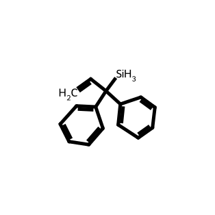 C=CC([SiH3])(c1ccccc1)c1ccccc1